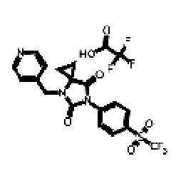 O=C(O)C(F)(F)F.O=C1N(c2ccc(S(=O)(=O)C(F)(F)F)cc2)C(=O)C2(CC2)N1Cc1ccncc1